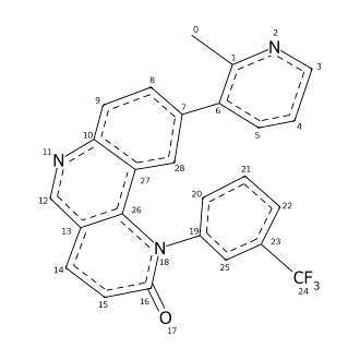 Cc1ncccc1-c1ccc2ncc3ccc(=O)n(-c4cccc(C(F)(F)F)c4)c3c2c1